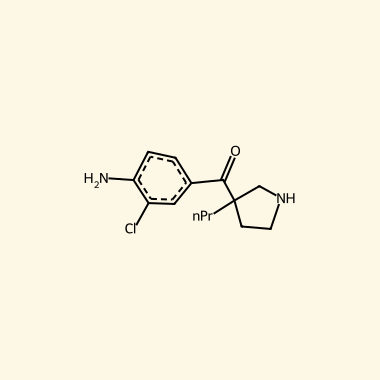 CCCC1(C(=O)c2ccc(N)c(Cl)c2)CCNC1